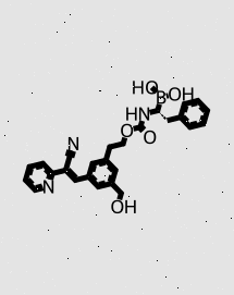 N#CC(=Cc1cc(CO)cc(CCOC(=O)N[C@@H](Cc2ccccc2)B(O)O)c1)c1ccccn1